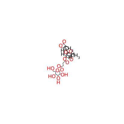 CC(C)[C@]12O[C@H]1[C@@H]1O[C@@]13[C@@]1(C)CCC4=C(COC4=O)[C@@H]1C1C[C@@]3(O1)[C@@H]2OC(=O)CCC(=O)O[C@@H]1OC(CO)[C@H](O)C(O)C1O